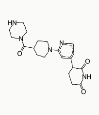 O=C1CCC(c2ccnc(N3CCC(C(=O)N4CCNCC4)CC3)c2)C(=O)N1